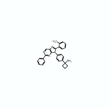 Cc1ccccc1-c1nc2cnc(-c3ccccc3)nc2n1-c1ccc(C2(N)CCC2)cc1